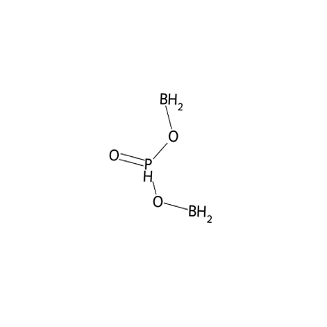 BO[PH](=O)OB